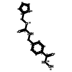 O=C(NCc1ccc(C(=O)NO)cc1)OCc1cccs1